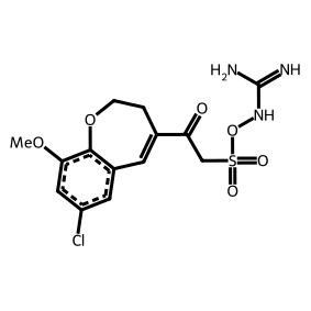 COc1cc(Cl)cc2c1OCCC(C(=O)CS(=O)(=O)ONC(=N)N)=C2